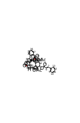 C=C1[C@@H](OC(=O)/C=C/c2ccccc2)C[C@H](OC(C)=O)[C@@]2(COC(=O)c3ccccc3)[C@@H](OC(C)=O)[C@H](OC(C)=O)[C@]3(O)[C@@]4(C)CO[C@]3(C)C(=O)C[C@H]4[C@@H](OC(C)=O)[C@H]12